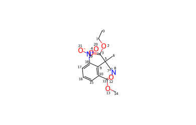 CCOC(=O)C(C)(C#N)c1c(C(=O)OC)cccc1[N+](=O)[O-]